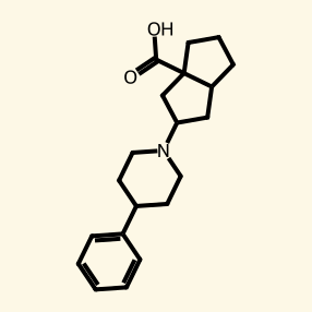 O=C(O)C12CCCC1CC(N1CCC(c3ccccc3)CC1)C2